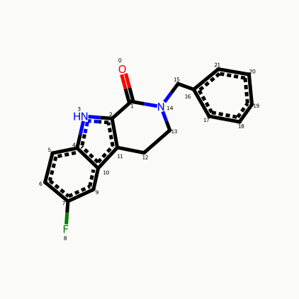 O=C1c2[nH]c3ccc(F)cc3c2CCN1Cc1ccccc1